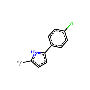 FC(F)(F)c1ccc(-c2ccc(Cl)cc2)[nH]1